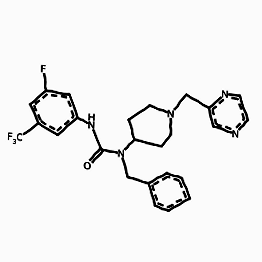 O=C(Nc1cc(F)cc(C(F)(F)F)c1)N(Cc1ccccc1)C1CCN(Cc2cnccn2)CC1